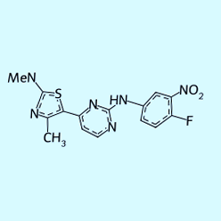 CNc1nc(C)c(-c2ccnc(Nc3ccc(F)c([N+](=O)[O-])c3)n2)s1